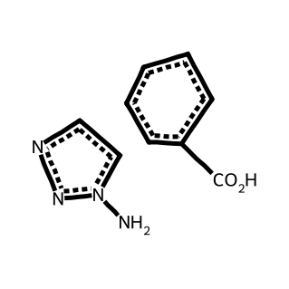 Nn1ccnn1.O=C(O)c1ccccc1